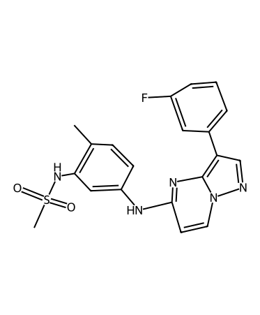 Cc1ccc(Nc2ccn3ncc(-c4cccc(F)c4)c3n2)cc1NS(C)(=O)=O